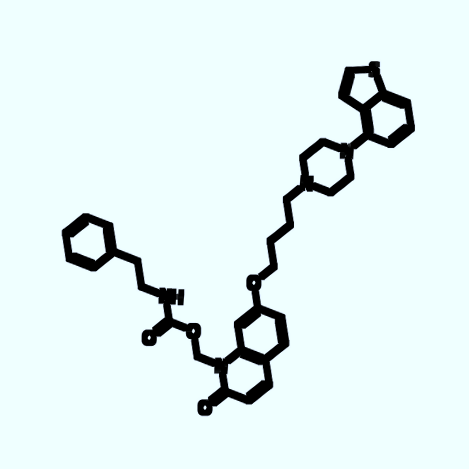 O=C(NCCc1ccccc1)OCn1c(=O)ccc2ccc(OCCCCN3CCN(c4cccc5sccc45)CC3)cc21